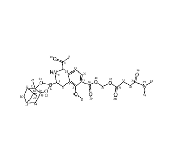 COc1c(CC(NCC(C)=O)B2OC3CC4CC(C4(C)C)C3(C)O2)cccc1C(=O)OCOC(=O)CCC(=O)N(C)C